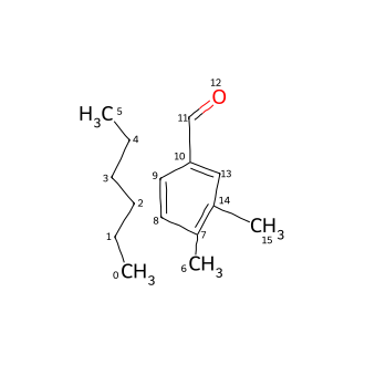 CCCCCC.Cc1ccc(C=O)cc1C